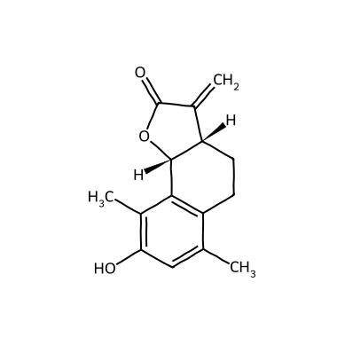 C=C1C(=O)O[C@H]2c3c(C)c(O)cc(C)c3CC[C@@H]12